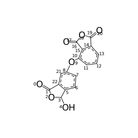 O=C1OC(O)c2ccc(Oc3cccc4c3C(=O)OC4=O)cc21